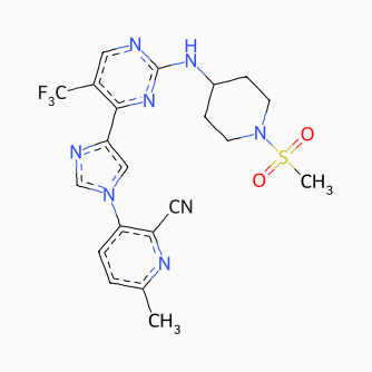 Cc1ccc(-n2cnc(-c3nc(NC4CCN(S(C)(=O)=O)CC4)ncc3C(F)(F)F)c2)c(C#N)n1